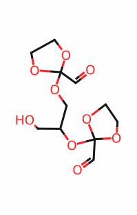 O=CC1(OCC(CO)OC2(C=O)OCCO2)OCCO1